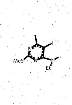 CCN(C)c1nc(SC)nc(C)c1I